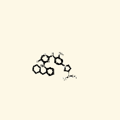 Cc1cc(N2CC[C@H](N(C)C)C2)ccc1Nc1ncc(Cl)c(Nc2ccccc2CC2CCCCC2)n1